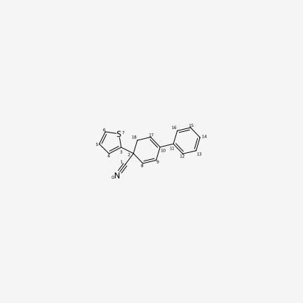 N#CC1(c2cccs2)C=CC(c2ccccc2)=CC1